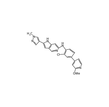 COc1cc(-c2ccc(Nc3cc4[nH]c(-c5cnn(C)c5)cc4cn3)c(Cl)c2)ccn1